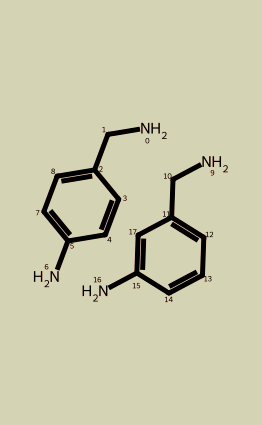 NCc1ccc(N)cc1.NCc1cccc(N)c1